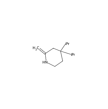 C=C1CC(C(C)C)(C(C)C)CCN1